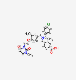 Cc1cc(CN(C[C@H]2CC[C@H](C(=O)O)CC2)[C@@H](C)c2ccc(Cl)cc2)ccc1OCCn1c(=O)ccn(C)c1=O